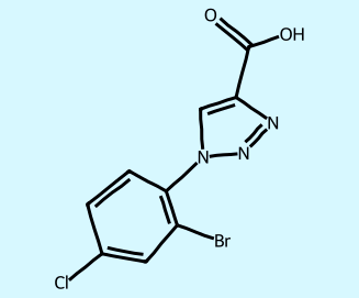 O=C(O)c1cn(-c2ccc(Cl)cc2Br)nn1